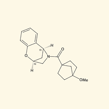 COC12CCC(C(=O)N3C[C@@H]4C[C@H]3c3ccccc3O4)(CC1)C2